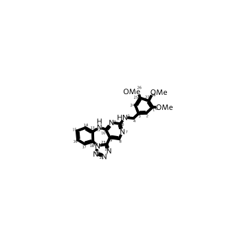 COc1cc(CNc2ncc3c(n2)Nc2ccccc2-n2nnnc2-3)cc(OC)c1OC